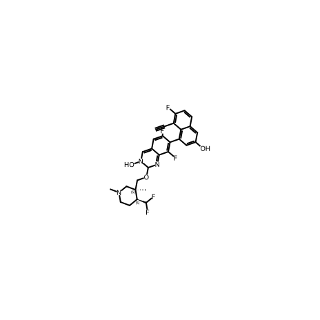 C#Cc1c(F)ccc2cc(O)cc(-c3c(F)cc4c(c3F)=NC(OC[C@]3(C)CN(C)CC[C@@H]3C(F)F)N(O)C=4)c12